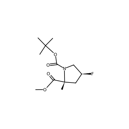 COC(=O)[C@@]1(C)C[C@H](F)CN1C(=O)OC(C)(C)C